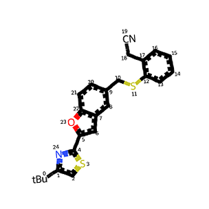 CC(C)(C)c1csc(-c2cc3cc(CSc4ccccc4CC#N)ccc3o2)n1